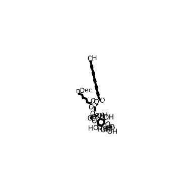 C#CC#CC#CC#CC#CC#CC(=O)OC[C@H](COP(=O)(O)OC1C(O)[C@H](O)[C@H](OP(=O)(O)O)C(O)[C@@H]1O)OC(=O)CCCCCCCCCCCCCCC